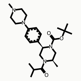 CC(C)C(=O)N1C[C@@H](c2ccc(N3CCN(C)CC3)cc2)N(C(=O)OC(C)(C)C)C[C@H]1C